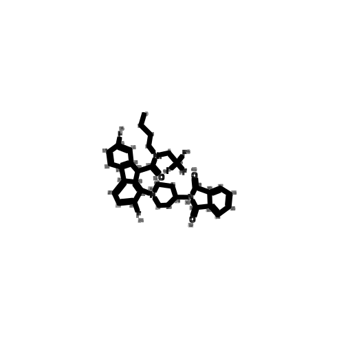 CCCCN(CC(F)(F)F)C(=O)C1c2cc(F)ccc2-c2ccc(F)c(N3CCC(N4C(=O)c5ccccc5C4=O)CC3)c21